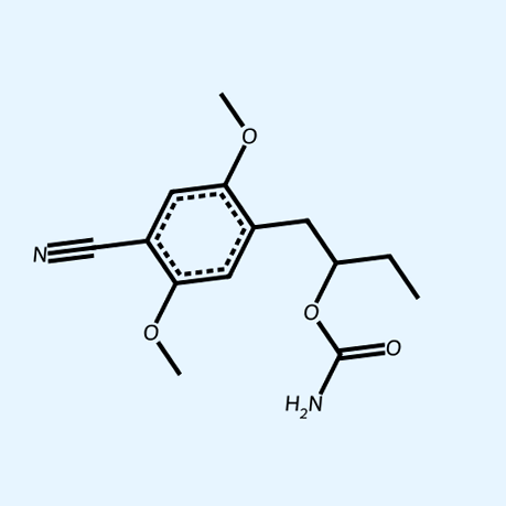 CCC(Cc1cc(OC)c(C#N)cc1OC)OC(N)=O